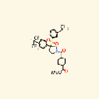 C=Cc1cccc(S(=O)(=O)C2(c3ccc(C(F)(C(F)(F)F)C(F)(F)F)cc3)CCN(C(=O)C3CCC(C(=O)OC)CC3)C2)c1